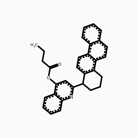 CCCC(=O)Oc1cc(C2CCCc3c2ccc2c3ccc3ccccc32)nc2ccccc12